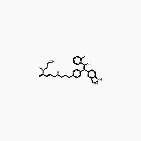 C=C(/C=C/CNCCCc1ccc(/C(=C(/CC)c2ccccc2C)c2ccc3[nH]ncc3c2)cc1)N(C)CCO